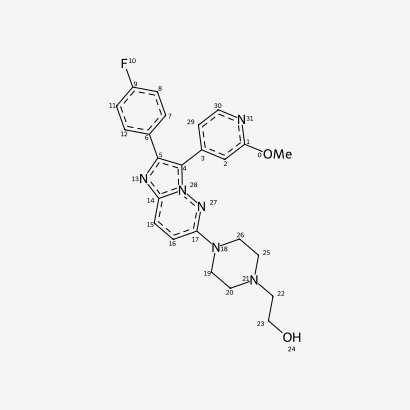 COc1cc(-c2c(-c3ccc(F)cc3)nc3ccc(N4CCN(CCO)CC4)nn23)ccn1